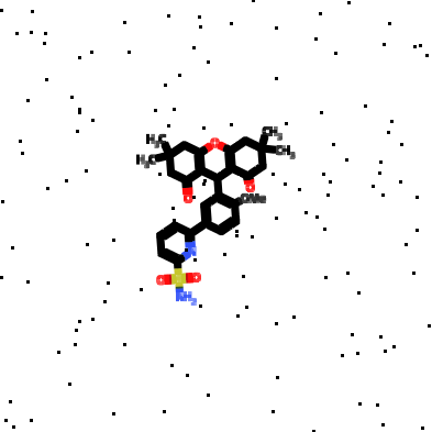 COc1ccc(-c2cccc(S(N)(=O)=O)n2)cc1C1C2=C(CC(C)(C)CC2=O)OC2=C1C(=O)CC(C)(C)C2